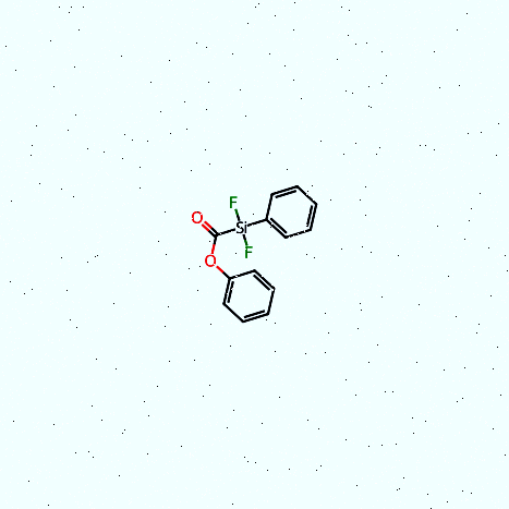 O=C(Oc1ccccc1)[Si](F)(F)c1ccccc1